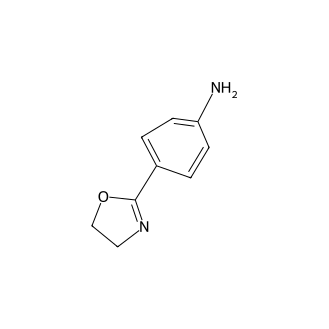 Nc1ccc(C2=NCCO2)cc1